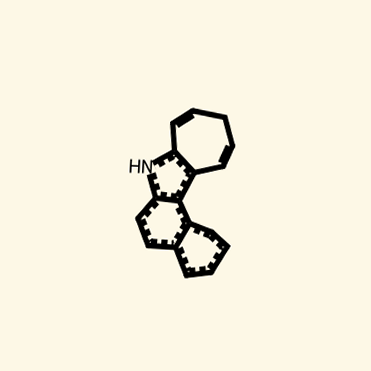 C1=Cc2[nH]c3ccc4ccccc4c3c2C=CC1